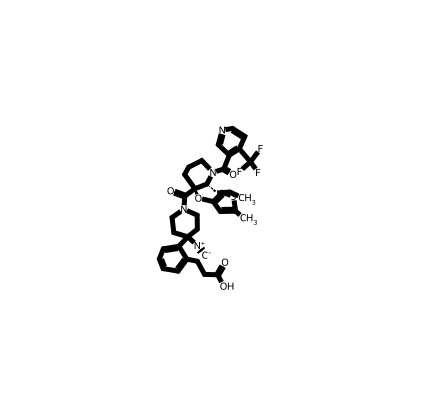 [C-]#[N+]C1(c2ccccc2CCC(=O)O)CCN(C(=O)[C@]2(Oc3csc(C)c3)CCCN(C(=O)c3cnccc3C(F)(F)F)[C@@H]2CCC)CC1